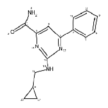 NC(=O)c1cc(-c2ccccc2)nc(NCC2CC2)n1